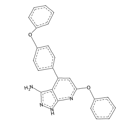 Nc1n[nH]c2nc(Oc3ccccc3)cc(-c3ccc(Oc4ccccc4)cc3)c12